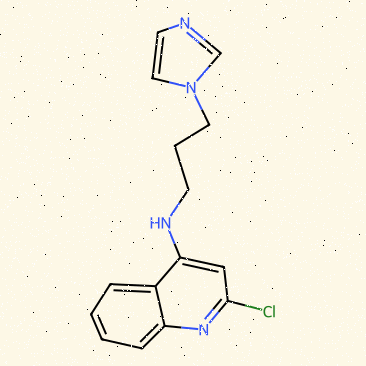 Clc1cc(NCCCn2ccnc2)c2ccccc2n1